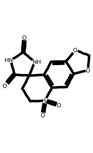 O=C1NC(=O)C2(CCS(=O)(=O)c3cc4c(cc32)OCO4)N1